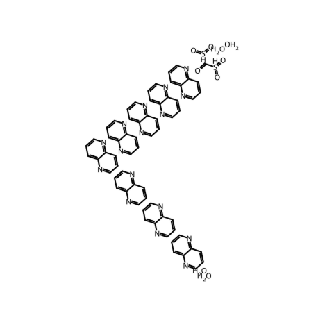 O.O.O.O.O=C([SH](=O)=O)[SH](=O)=O.c1cnc2cccnc2c1.c1cnc2cccnc2c1.c1cnc2cccnc2c1.c1cnc2cccnc2c1.c1cnc2cccnc2c1.c1cnc2cccnc2c1.c1cnc2cccnc2c1.c1cnc2cccnc2c1